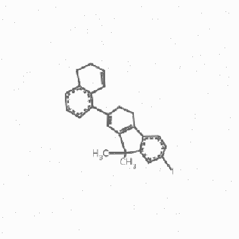 CC1(C)C2=C(CCC(c3cccc4c3C=CCC4)=C2)c2ccc(I)cc21